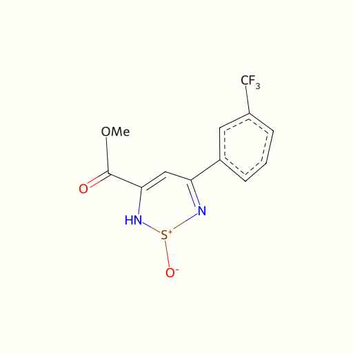 COC(=O)C1=CC(c2cccc(C(F)(F)F)c2)=N[S+]([O-])N1